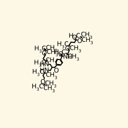 CC(C)(CCOC(C)(C)C)NCC(CNC(C)(C)CCOC(C)(C)C)C(=O)c1ccc(C(=O)NC(C)(C)COC(C)(C)CCC(=O)OC(C)(C)C)cc1